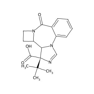 CC(C)(C)[C@]1(C(=O)O)N=CN2c3ccccc3C(=O)N3CCC3C21